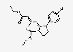 CCOC(=O)C=C(C)N=C1C(C(=O)OCC)CCN1c1ccc(Cl)cc1